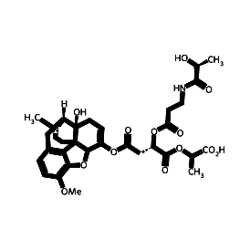 COc1ccc2c3c1OC1C(OC(=O)C[C@H](OC(=O)CCNC(=O)[C@H](C)O)C(=O)OC(C)C(=O)O)=CC[C@@]4(O)[C@@H](C2)N(C)CCC314